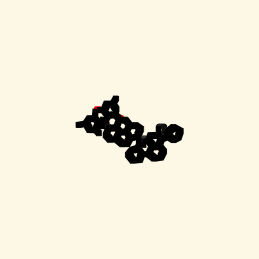 Cc1cc(C)c(B(c2c(C)cc(C)cc2C)c2ccc3ccc4c(N(c5ccc6c(c5)oc5ccccc56)c5ccccc5-c5ccccc5)ccc5ccc2c3c54)c(C)c1